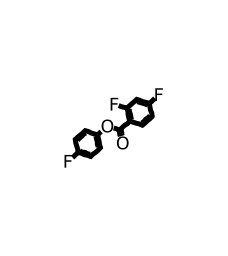 O=C(Oc1ccc(F)cc1)c1ccc(F)cc1F